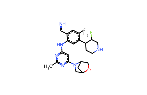 Cc1nc(Nc2cc(C3CCNCC3F)c(C)cc2C=N)cc(N2CC3CC2CO3)n1